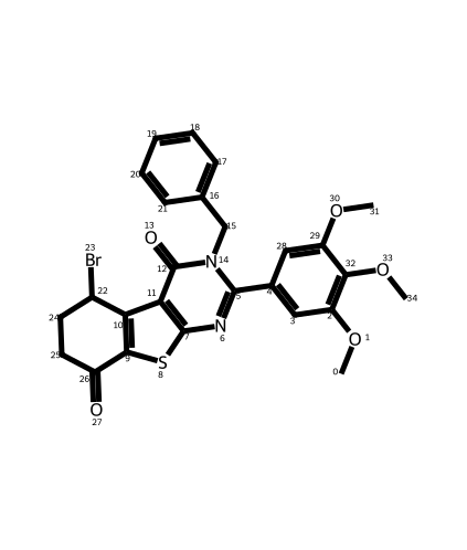 COc1cc(-c2nc3sc4c(c3c(=O)n2Cc2ccccc2)C(Br)CCC4=O)cc(OC)c1OC